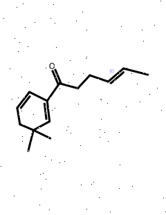 C/C=C/CCC(=O)C1=CC(C)(C)CC=C1